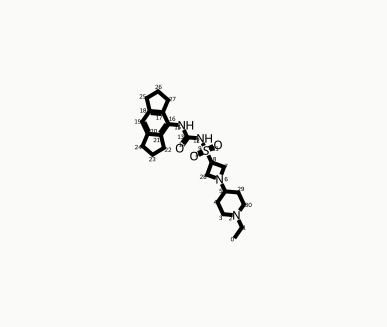 CCN1CCC(N2CC(S(=O)(=O)NC(=O)Nc3c4c(cc5c3CCC5)CCC4)C2)CC1